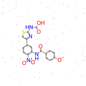 COc1ccc(C(=O)Nc2cc(-c3csc(NC(=O)O)n3)ccc2[N+](=O)[O-])cc1